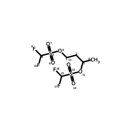 CC(CCOS(=O)(=O)C(F)F)OS(=O)(=O)C(F)F